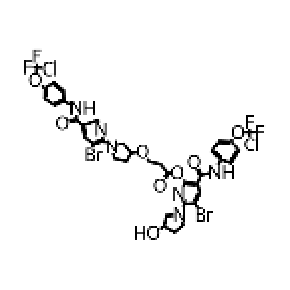 O=C(CCOC1CCN(c2ncc(C(=O)Nc3ccc(OC(F)(F)Cl)cc3)cc2Br)C1)Oc1nc(N2CCC(O)C2)c(Br)cc1C(=O)Nc1ccc(OC(F)(F)Cl)cc1